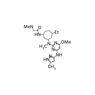 CCC1CCC(NC(=O)CNC)CC(N(C)c2nc(Nc3cc(C)[nH]n3)cc(OC)n2)C1